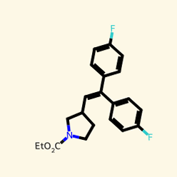 CCOC(=O)N1CCC(C=C(c2ccc(F)cc2)c2ccc(F)cc2)C1